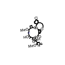 COc1nn(C)cc1C(=O)NS1(=O)=NC(=O)c2ccc3c(c2)N(Cc2ccc(Cl)cc2CCCCO3)CC2CCC2C(OC)/C=C/C(O)C(C)C1C